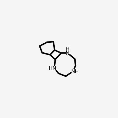 C1CCC2C(C1)C1NCCNCCNC21